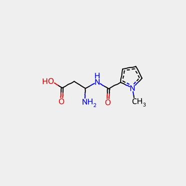 Cn1cccc1C(=O)NC(N)CC(=O)O